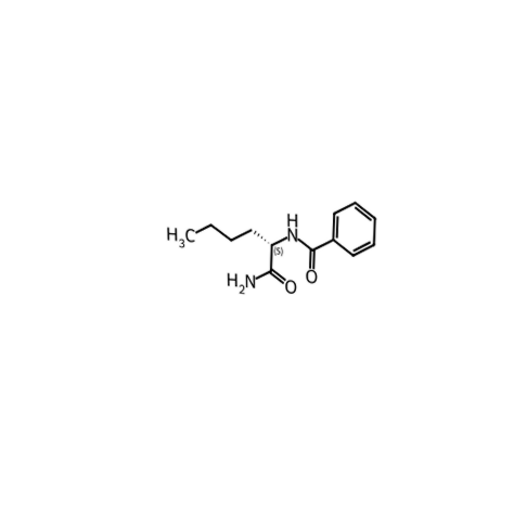 CCCC[C@H](NC(=O)c1ccccc1)C(N)=O